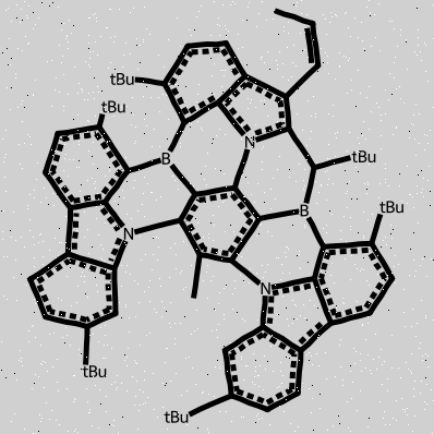 C/C=C\c1c2n3c4c(c(C(C)(C)C)ccc14)B1c4c-3c3c(c(C)c4-n4c5cc(C(C)(C)C)ccc5c5ccc(C(C)(C)C)c1c54)-n1c4cc(C(C)(C)C)ccc4c4ccc(C(C)(C)C)c(c41)B3C2C(C)(C)C